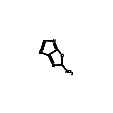 O=[N+]([O-])C1N=C2N=CN=C2O1